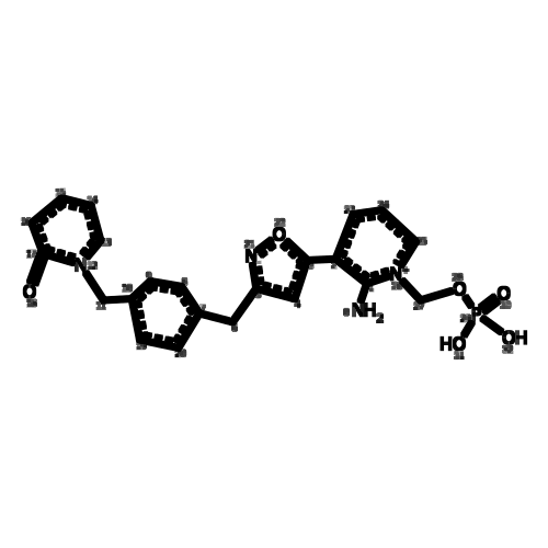 Nc1c(-c2cc(Cc3ccc(Cn4ccccc4=O)cc3)no2)ccc[n+]1COP(=O)(O)O